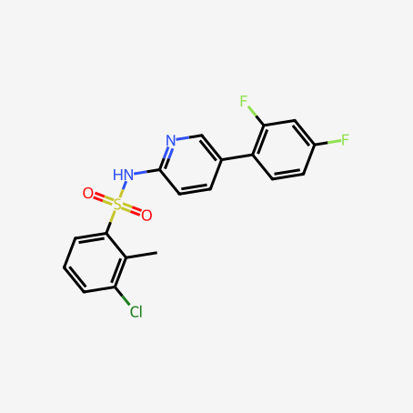 Cc1c(Cl)cccc1S(=O)(=O)Nc1ccc(-c2ccc(F)cc2F)cn1